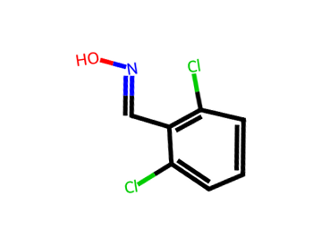 ON=Cc1c(Cl)cccc1Cl